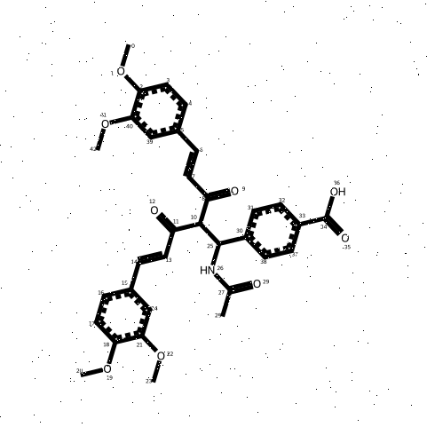 COc1ccc(/C=C/C(=O)C(C(=O)/C=C/c2ccc(OC)c(OC)c2)C(NC(C)=O)c2ccc(C(=O)O)cc2)cc1OC